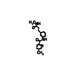 CNC(=O)CCc1cccc(NC(=O)c2ccc(C)cn2)c1